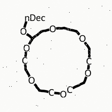 CCCCCCCCCCOC1COCCOCCOCCOCCOCCO1